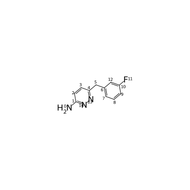 Nc1ccc(Cc2cccc(F)c2)nn1